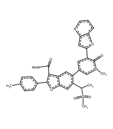 CNC(=O)c1c(-c2ccc(C)cc2)oc2cc(N(C)S(C)(=O)=O)c(-c3cc(-c4cc5ncccc5o4)c(=O)n(C)c3)cc12